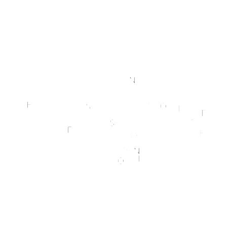 CN1CC[C@@H](Oc2cc(NS(=O)(=O)c3ccc(Sc4ccc(F)cc4F)s3)ccc2C(F)(F)F)C1